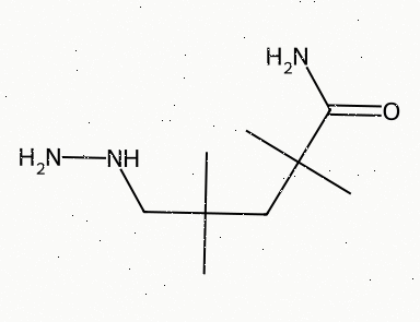 CC(C)(CNN)CC(C)(C)C(N)=O